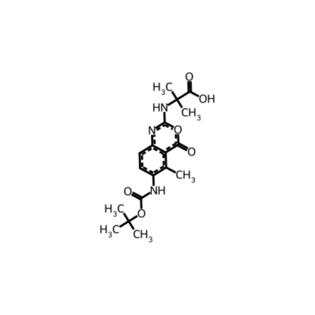 Cc1c(NC(=O)OC(C)(C)C)ccc2nc(NC(C)(C)C(=O)O)oc(=O)c12